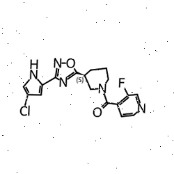 O=C(c1ccncc1F)N1CCC[C@H](c2nc(-c3cc(Cl)c[nH]3)no2)C1